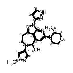 CC1c2cc(N3CCOC[C@H]3C)nc3c2c(nn3-c2cc[nH]n2)CCN1c1cnn(C)c1